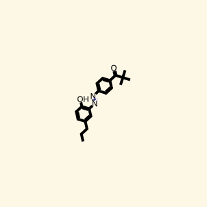 CCCc1ccc(O)c(/N=N/c2ccc(C(=O)C(C)(C)C)cc2)c1